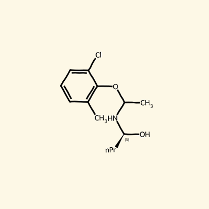 CCC[C@H](O)NC(C)Oc1c(C)cccc1Cl